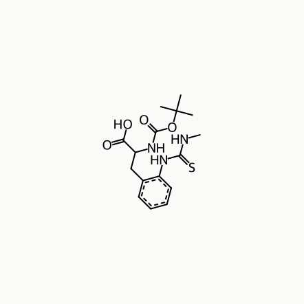 CNC(=S)Nc1ccccc1CC(NC(=O)OC(C)(C)C)C(=O)O